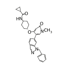 Cn1cc(-c2ccc3cnn(Cc4ccccc4)c3c2)c(O[C@H]2CC[C@H](NC(=O)C3CC3)CC2)cc1=O